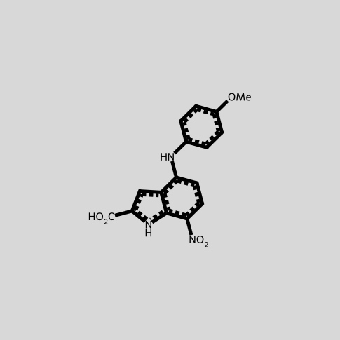 COc1ccc(Nc2ccc([N+](=O)[O-])c3[nH]c(C(=O)O)cc23)cc1